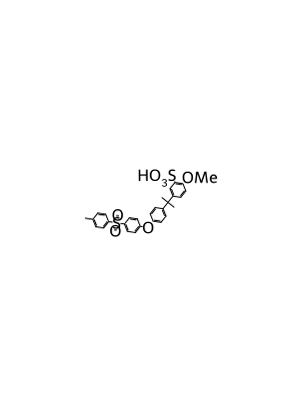 COc1ccc(C(C)(C)c2ccc(Oc3ccc(S(=O)(=O)c4ccc(C)cc4)cc3)cc2)cc1S(=O)(=O)O